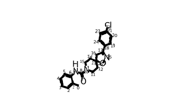 Cc1ccccc1NC(=O)N1CCC2(CC1)CC(c1ccc(Cl)cc1)=NO2